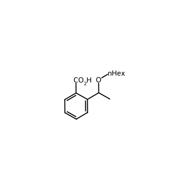 CCCCCCOC(C)c1ccccc1C(=O)O